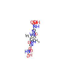 Cc1c(NC(=O)c2ccc(CNC(CO)CO)cn2)cccc1-c1cccc(NC(=O)c2ccc(COC(=O)NCCO)cn2)c1C